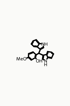 COc1ccc(C(c2c[nH]c3ccccc23)c2c[nH]c3ccccc23)c(O)c1